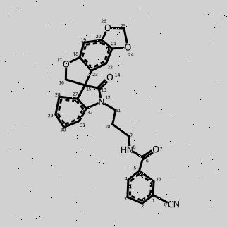 N#Cc1cccc(C(=O)NCCCN2C(=O)C3(COc4cc5c(cc43)OCO5)c3ccccc32)c1